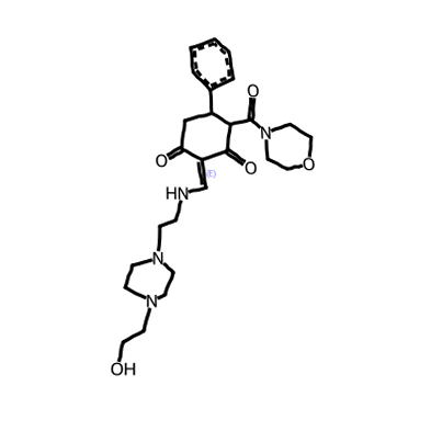 O=C1CC(c2ccccc2)C(C(=O)N2CCOCC2)C(=O)/C1=C/NCCN1CCN(CCO)CC1